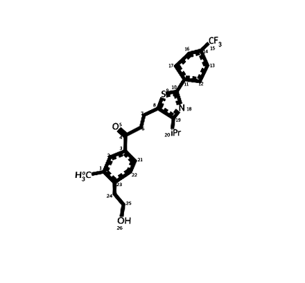 Cc1cc(C(=O)CCc2sc(-c3ccc(C(F)(F)F)cc3)nc2C(C)C)ccc1CCO